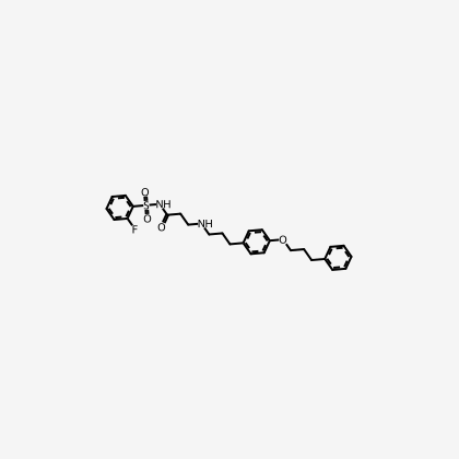 O=C(CCNCCCc1ccc(OCCCc2ccccc2)cc1)NS(=O)(=O)c1ccccc1F